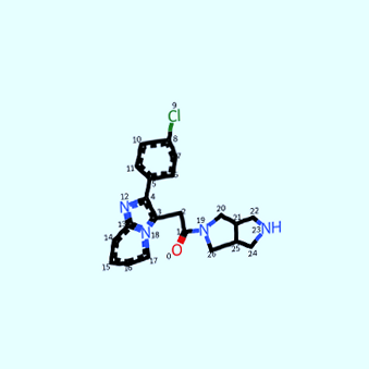 O=C(Cc1c(-c2ccc(Cl)cc2)nc2ccccn12)N1CC2CNCC2C1